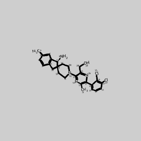 Cc1ccc2c(c1)[C@@H](N)C1(CCN(c3nc(C)c(-c4cccc(Cl)c4Cl)nc3CO)CC1)C2